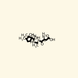 CC1CCC(C)(C(=O)N[C@H](C)NC(=O)[C@@H](N)CC(=O)O)C1(C)C